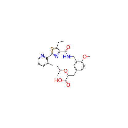 CCc1sc(-c2ncccc2C)nc1C(=O)NCc1cc(CC(OC(C)C)C(=O)O)ccc1OC